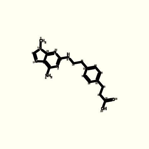 Cn1cnc2c(N)nc(NCCc3ccc(CCC(=O)O)cc3)nc21